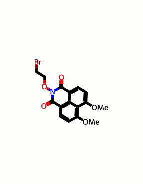 COc1ccc2c3c(ccc(OC)c13)C(=O)N(OCCBr)C2=O